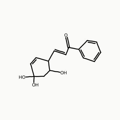 O=C(C=CC1C=CC(O)(O)CC1O)c1ccccc1